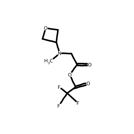 CN(CC(=O)OC(=O)C(F)(F)F)C1COC1